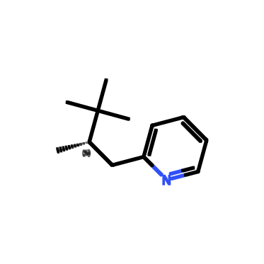 C[C@@H](Cc1ccccn1)C(C)(C)C